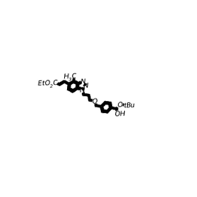 CCOC(=O)/C=C/c1ccc2c(nnn2CCCOCc2ccc(C(O)OC(C)(C)C)cc2)c1C